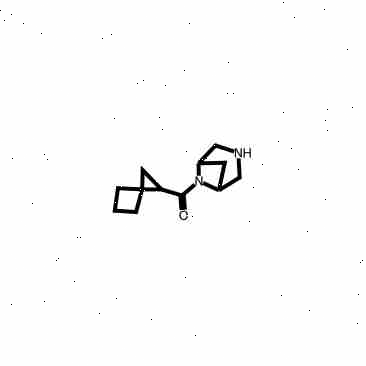 O=C(C1CC12CCC2)N1C2CNCC1C2